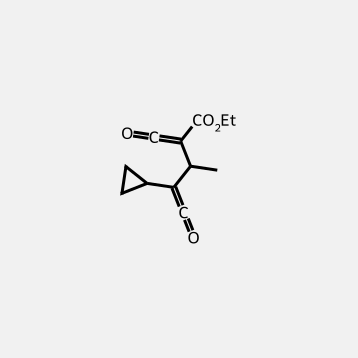 CCOC(=O)C(=C=O)C(C)C(=C=O)C1CC1